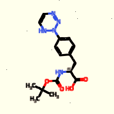 CC(C)(C)OC(=O)N[C@@H](Cc1ccc(N2N=NC=CN2)cc1)C(=O)O